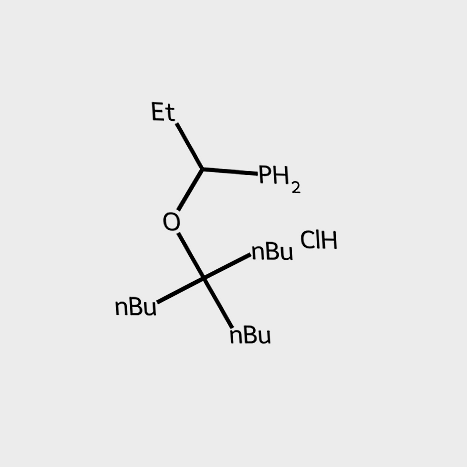 CCCCC(CCCC)(CCCC)OC(P)CC.Cl